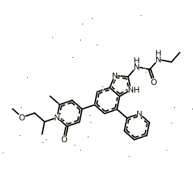 CCNC(=O)Nc1nc2cc(-c3cc(C)n(C(C)COC)c(=O)c3)cc(-c3ccccn3)c2[nH]1